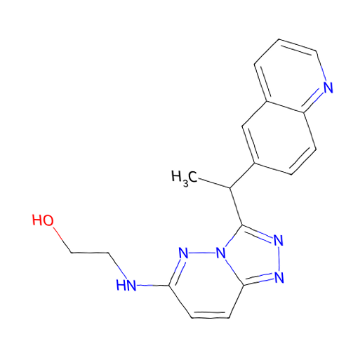 CC(c1ccc2ncccc2c1)c1nnc2ccc(NCCO)nn12